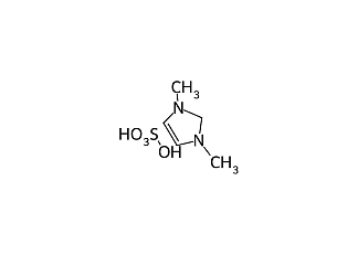 CN1C=CN(C)C1.O=S(=O)(O)O